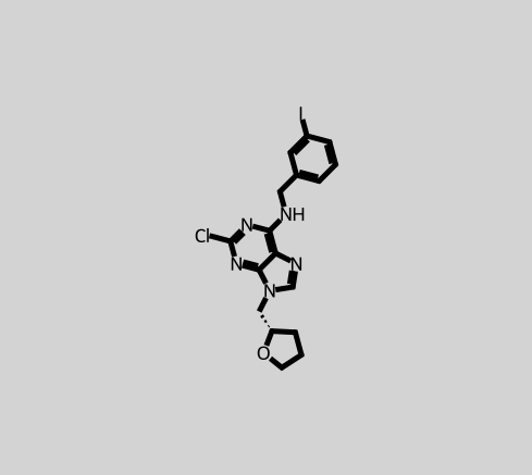 Clc1nc(NCc2cccc(I)c2)c2ncn(C[C@@H]3CCCO3)c2n1